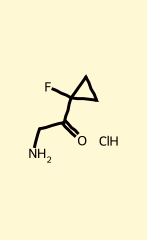 Cl.NCC(=O)C1(F)CC1